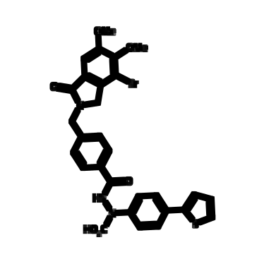 COc1cc2c(c(Br)c1OC)CN(Cc1ccc(C(=O)NN(C(=O)O)c3ccc(-c4cccs4)cc3)cc1)C2=O